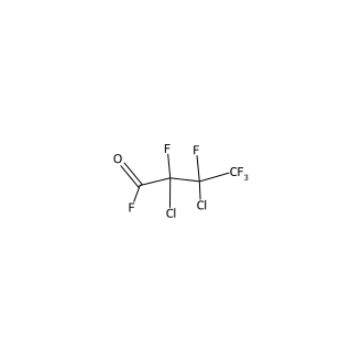 O=C(F)C(F)(Cl)C(F)(Cl)C(F)(F)F